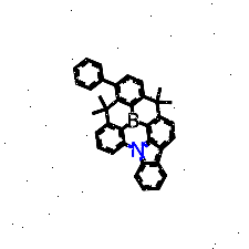 CC1(C)c2ccc(-c3ccccc3)c3c2B2c4c(cccc4C3(C)C)-n3c4ccccc4c4ccc1c2c43